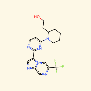 OCCC1CCCCN1c1ccnc(-c2cnc3cnc(C(F)(F)F)cn23)n1